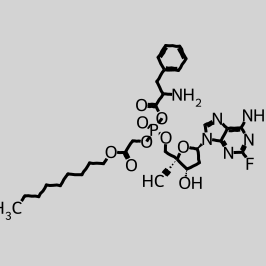 C#C[C@]1(CO[P@](=O)(OCC(=O)OCCCCCCCCC)OC(=O)C(N)Cc2ccccc2)O[C@@H](n2cnc3c(N)nc(F)nc32)C[C@@H]1O